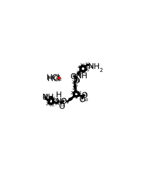 COC(=O)c1cc(C#CCOC(=O)NCc2ccc(CN)cc2)cc(C#CCOC(=O)NCc2ccc(CN)cc2)c1.Cl.Cl